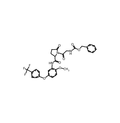 COc1ccc(Oc2ccc(C(F)(F)F)cc2)cc1NC(=O)C1CCC(=O)N1C(=O)CNC(=O)OCc1ccccc1